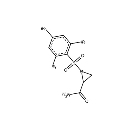 CC(C)c1cc(C(C)C)c(S(=O)(=O)N2CC2C(N)=O)c(C(C)C)c1